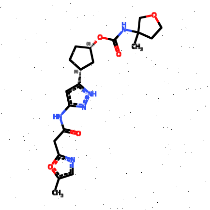 Cc1cnc(CC(=O)Nc2cc([C@@H]3CC[C@H](OC(=O)NC4(C)CCOC4)C3)[nH]n2)o1